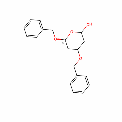 OC1CC(OCc2ccccc2)C[C@@H](OCc2ccccc2)O1